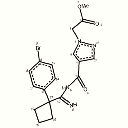 COC(=O)Cn1cc(C(=O)NC(=N)C2(c3ccc(Br)cc3)CCC2)cn1